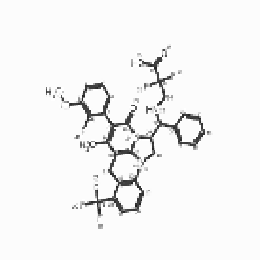 COc1cccc(-c2c(C)c(Cc3c(F)cccc3C(F)(F)F)c3n(c2=O)C(C(NCC(F)(F)C(=O)O)c2ccccc2)CS3)c1F